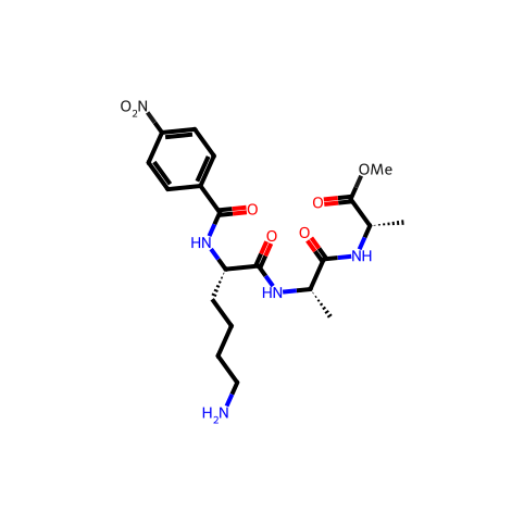 COC(=O)[C@H](C)NC(=O)[C@H](C)NC(=O)[C@H](CCCCN)NC(=O)c1ccc([N+](=O)[O-])cc1